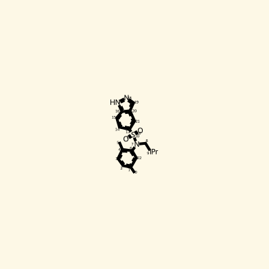 Cc1ccc(C)c(N(CC(C)C)S(=O)(=O)c2ccc3[nH]ncc3c2)c1